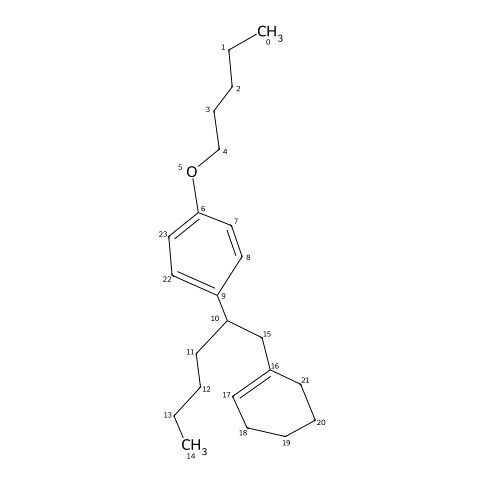 CCCCCOc1ccc(C(CCCC)CC2=CCCCC2)cc1